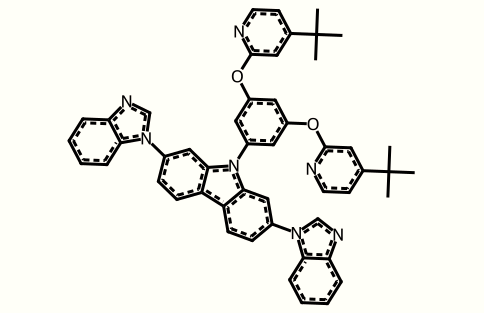 CC(C)(C)c1ccnc(Oc2cc(Oc3cc(C(C)(C)C)ccn3)cc(-n3c4cc(-n5cnc6ccccc65)ccc4c4ccc(-n5cnc6ccccc65)cc43)c2)c1